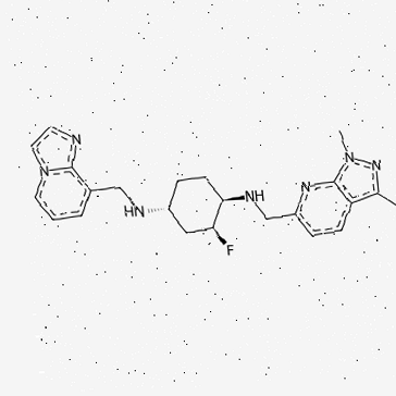 Cc1nn(C)c2nc(CN[C@@H]3CC[C@@H](NCc4cccn5ccnc45)C[C@@H]3F)ccc12